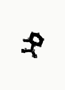 Cc1ccccc1P(Cl)Br